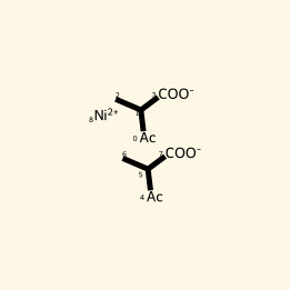 CC(=O)C(C)C(=O)[O-].CC(=O)C(C)C(=O)[O-].[Ni+2]